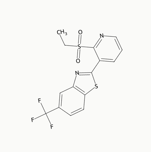 CCS(=O)(=O)c1ncccc1-c1nc2cc(C(F)(F)F)ccc2s1